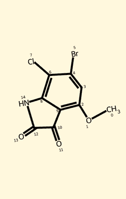 COc1cc(Br)c(Cl)c2c1C(=O)C(=O)N2